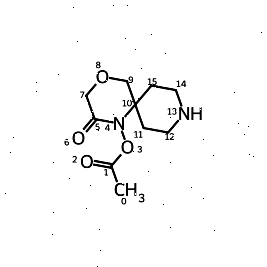 CC(=O)ON1C(=O)COCC12CCNCC2